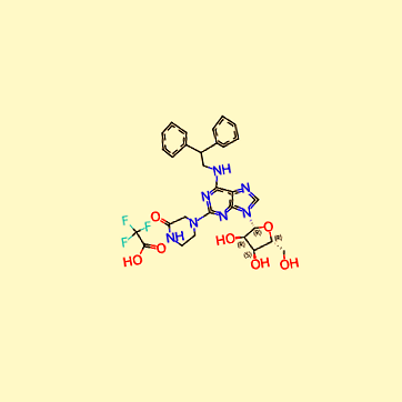 O=C(O)C(F)(F)F.O=C1CN(c2nc(NCC(c3ccccc3)c3ccccc3)c3ncn([C@@H]4O[C@H](CO)[C@@H](O)[C@H]4O)c3n2)CCN1